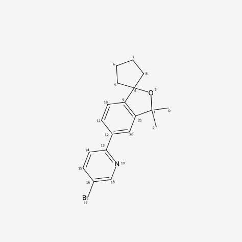 CC1(C)OC2(CCCC2)c2ccc(-c3ccc(Br)cn3)cc21